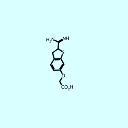 N=C(N)C1Cc2ccc(OCC(=O)O)cc2S1